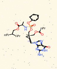 CCCC(=O)OC[C@]1(CO[P@@](=O)(NC(C)C(=O)OCC(CCC)CCC)Oc2ccccc2)C/C1=C/n1cnc2c(=O)[nH]c(N)nc21